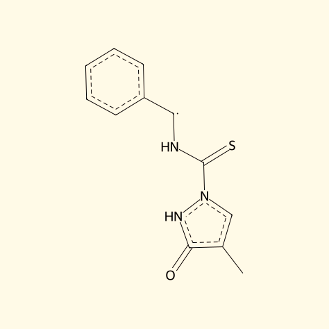 Cc1cn(C(=S)N[CH]c2ccccc2)[nH]c1=O